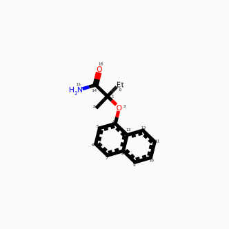 CCC(C)(Oc1cccc2ccccc12)C(N)=O